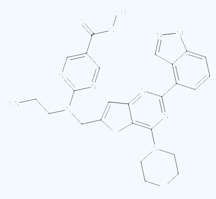 NCCN(Cc1cc2nc(-c3cccc4[nH]ncc34)nc(N3CCOCC3)c2s1)c1ncc(C(=O)NO)cn1